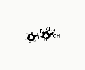 O=C(O)c1cnc(OCc2ccccc2)c(F)c1Cl